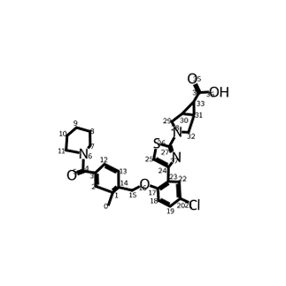 Cc1cc(C(=O)N2CCCCC2)ccc1COc1ccc(Cl)cc1-c1csc(N2CC3C(C2)C3C(=O)O)n1